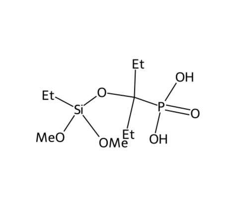 CCC(CC)(O[Si](CC)(OC)OC)P(=O)(O)O